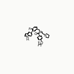 O=C(c1ccc(OC(F)(F)F)cc1)N(CCN1CCCC1)Cc1ccc(F)c(-c2ccc3[nH]ccc3c2)c1